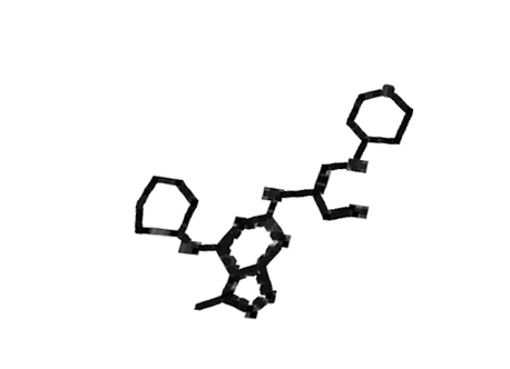 Cc1nsc2nc(N/C(C=N)=C/NC3CCOCC3)nc(NC3CCCCC3)c12